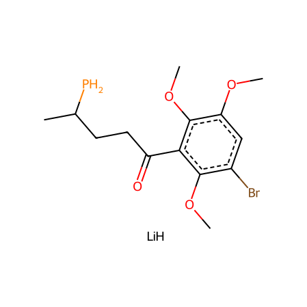 COc1cc(Br)c(OC)c(C(=O)CCC(C)P)c1OC.[LiH]